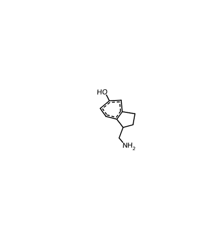 NCC1CCc2cc(O)ccc21